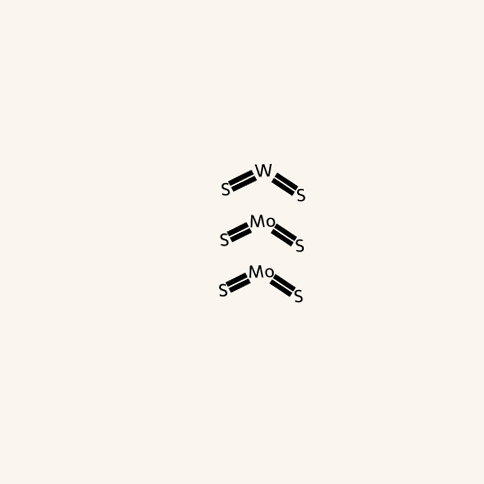 [S]=[Mo]=[S].[S]=[Mo]=[S].[S]=[W]=[S]